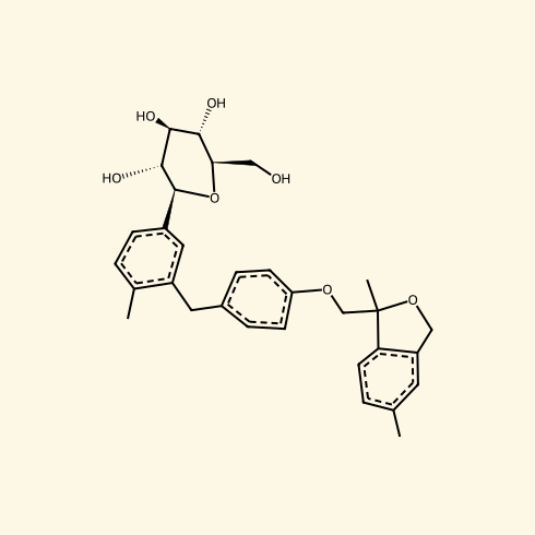 Cc1ccc2c(c1)COC2(C)COc1ccc(Cc2cc([C@@H]3O[C@H](CO)[C@@H](O)[C@H](O)[C@H]3O)ccc2C)cc1